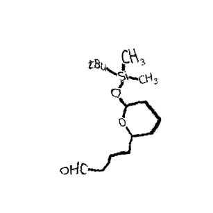 CC(C)(C)[Si](C)(C)OC1CCCC(CCCC=O)O1